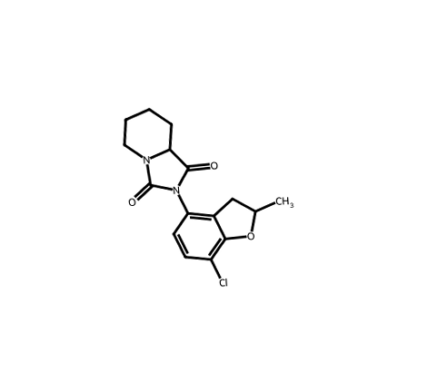 CC1Cc2c(N3C(=O)C4CCCCN4C3=O)ccc(Cl)c2O1